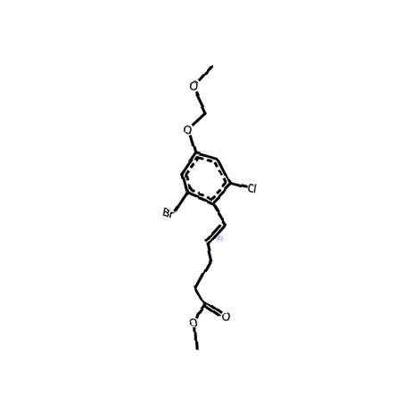 COCOc1cc(Cl)c(/C=C/CCC(=O)OC)c(Br)c1